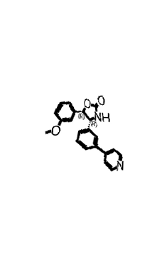 COc1cccc([C@H]2OC(=O)N[C@@H]2c2cccc(-c3ccncc3)c2)c1